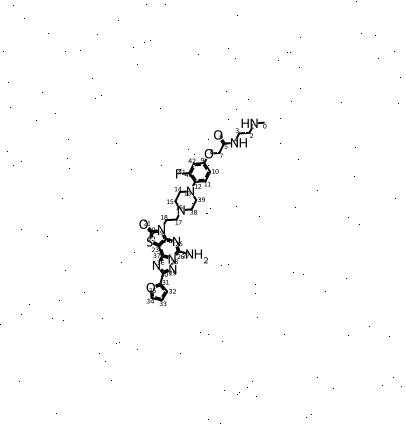 CNCCNC(=O)COc1ccc(N2CCN(CCn3c(=O)sc4c3nc(N)n3nc(-c5ccco5)nc43)CC2)c(F)c1